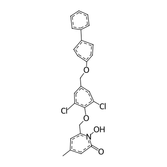 Cc1cc(COc2c(Cl)cc(COc3ccc(-c4ccccc4)cc3)cc2Cl)n(O)c(=O)c1